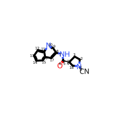 N#CN1CC[C@H](C(=O)Nc2cnc3ccccc3c2)C1